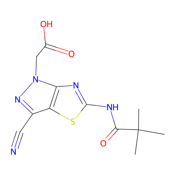 CC(C)(C)C(=O)Nc1nc2c(s1)c(C#N)nn2CC(=O)O